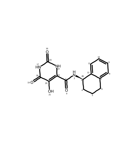 O=C(N[C@@H]1CCCc2ccccc21)c1[nH]c(=O)[nH]c(=O)c1O